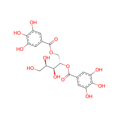 O=C(OC[C@H](OC(=O)c1cc(O)c(O)c(O)c1)[C@@H](O)[C@H](O)CO)c1cc(O)c(O)c(O)c1